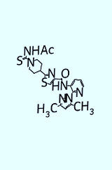 CC(=O)NC(=S)N1CCC(c2nc(C(=O)Nc3cccnc3-n3nc(C)cc3C)cs2)CC1